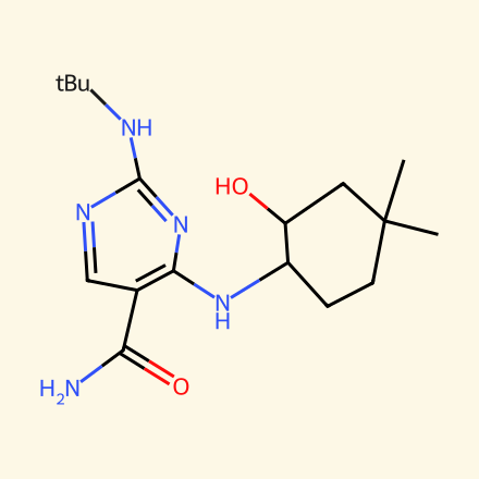 CC1(C)CCC(Nc2nc(NC(C)(C)C)ncc2C(N)=O)C(O)C1